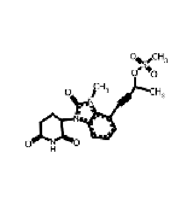 CC(C#Cc1cccc2c1n(C)c(=O)n2C1CCC(=O)NC1=O)OS(C)(=O)=O